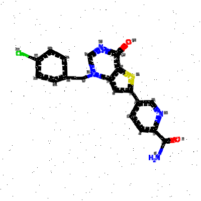 NC(=O)c1ccc(-c2cc3c(s2)c(=O)ncn3Cc2ccc(Cl)cc2)cn1